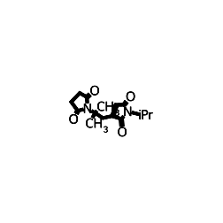 CC(C)N1C(=O)C=C(CC(C)(C)N2C(=O)CCC2=O)C1=O